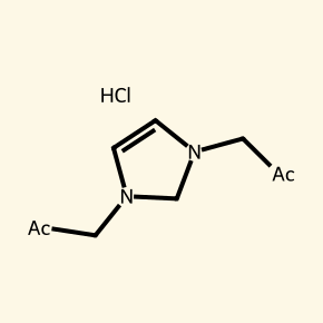 CC(=O)CN1C=CN(CC(C)=O)C1.Cl